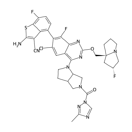 Cc1ncn(C(=O)N2CC3CCN(c4nc(OC[C@@]56CCCN5C[C@H](F)C6)nc5c(F)c(-c6ccc(F)c7sc(N)c(C#N)c67)c(Cl)cc45)C3C2)n1